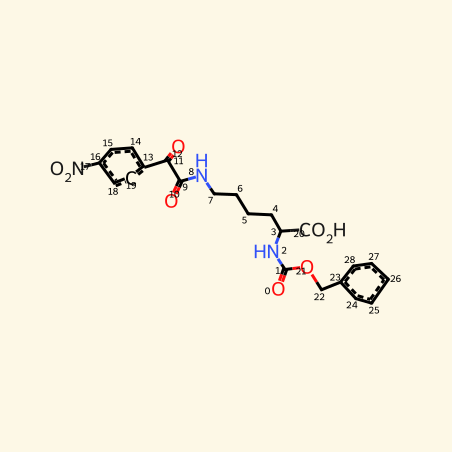 O=C(NC(CCCCNC(=O)C(=O)c1ccc([N+](=O)[O-])cc1)C(=O)O)OCc1ccccc1